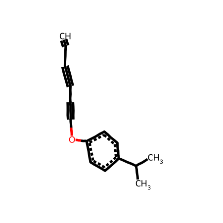 C#CC#CC#COc1ccc(C(C)C)cc1